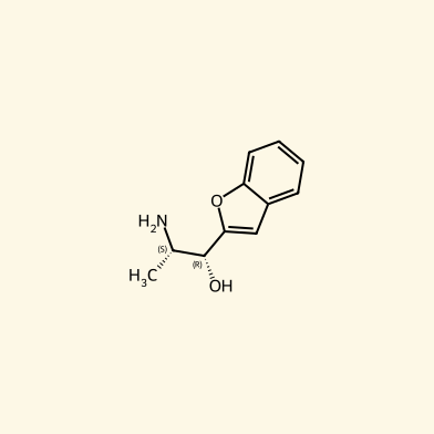 C[C@H](N)[C@@H](O)c1cc2ccccc2o1